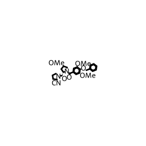 COc1cc(C(=O)N2C[C@H](OC)C[C@H]2C(=O)N2CCCC2C#N)cc(OC)c1OCc1ccccc1